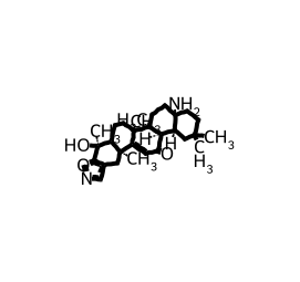 CC1(C)CC[C@]2(N)CC[C@]3(C)[C@H](C(=O)C=C4[C@@]5(C)Cc6cnoc6[C@@](C)(O)C5CC[C@]43C)[C@@H]2C1